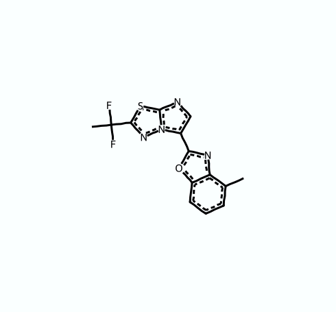 Cc1cccc2oc(-c3cnc4sc(C(C)(F)F)nn34)nc12